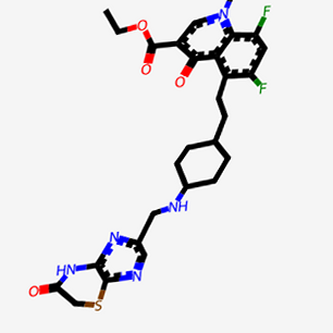 CCOC(=O)c1cn(C)c2c(F)cc(F)c(CCC3CCC(NCc4cnc5c(n4)NC(=O)CS5)CC3)c2c1=O